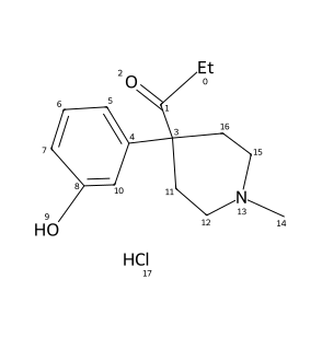 CCC(=O)C1(c2cccc(O)c2)CCN(C)CC1.Cl